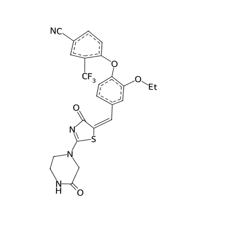 CCOc1cc(C=C2SC(N3CCNC(=O)C3)=NC2=O)ccc1Oc1ccc(C#N)cc1C(F)(F)F